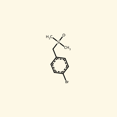 C[Si](C)([O])Cc1ccc(Br)cc1